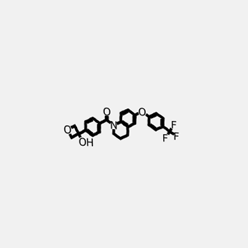 O=C(c1ccc(C2(O)COC2)cc1)N1CCCc2cc(Oc3ccc(C(F)(F)F)cc3)ccc21